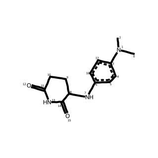 CN(C)c1ccc(NC2CCC(=O)NC2=O)cc1